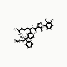 CC(C)CCCC(NC(=O)c1cnn(-c2cccc(Cl)c2F)c1Cl)c1cc(C(C)(CNC=O)c2ccccc2)ccn1